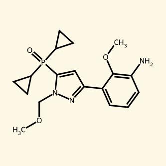 COCn1nc(-c2cccc(N)c2OC)cc1P(=O)(C1CC1)C1CC1